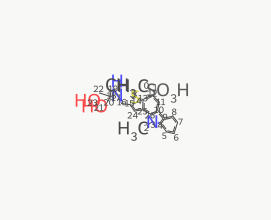 CS(=O)(=O)O.Cn1c2ccccc2c2ccc3sc(CNC(C)(CO)CO)cc3c21